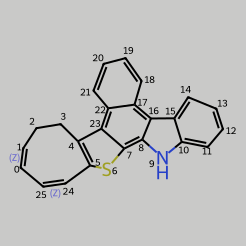 C1=C\CCc2c(sc3c4[nH]c5ccccc5c4c4ccccc4c23)\C=C/1